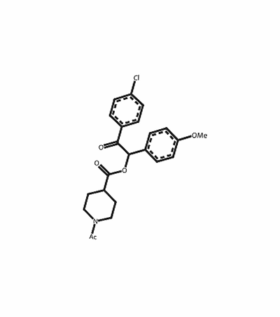 COc1ccc(C(OC(=O)C2CCN(C(C)=O)CC2)C(=O)c2ccc(Cl)cc2)cc1